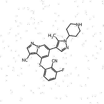 Cc1c(-c2cc(Sc3cccc(F)c3C#N)c3c(C#N)cnn3c2)cnn1C1CCNCC1